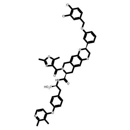 Cc1nc(C(=O)N2Cc3cc4c(cc3C[C@H]2C(=O)N[C@@H](Cc2ccc(Oc3ccnc(C)c3C)cc2)C(=O)O)OC[C@H](c2cccc(OCc3ccc(Cl)c(Cl)c3)c2)O4)c(C)o1